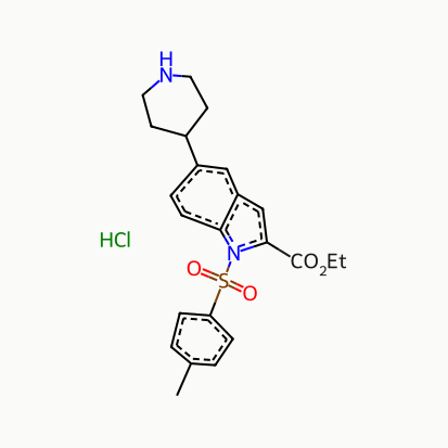 CCOC(=O)c1cc2cc(C3CCNCC3)ccc2n1S(=O)(=O)c1ccc(C)cc1.Cl